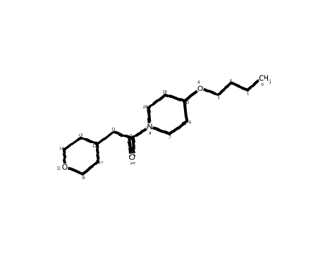 CCCCOC1CCN(C(=O)CC2CCOCC2)CC1